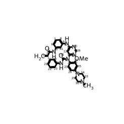 C=CC(=O)Nc1cccc(Nc2cc(N(C(=O)Nc3ccccc3)c3ccc(N4CCN(C)CC4)cc3OC)ncn2)c1